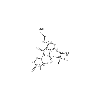 NCCOc1cccc2c1C(=O)N(C1CCC(=O)NC1=O)C2=O.O=C(O)C(F)(F)F